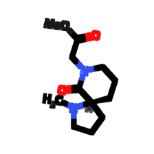 COC(=O)CN1CCC[C@]2(CCCN2C)C1=O